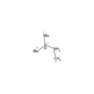 C[SiH2][SiH](C(C)(C)C)C(C)(C)C